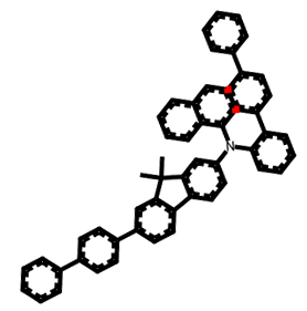 CC1(C)c2cc(-c3ccc(-c4ccccc4)cc3)ccc2-c2ccc(N(c3ccccc3-c3ccc(-c4ccccc4)cc3)c3cccc4ccccc34)cc21